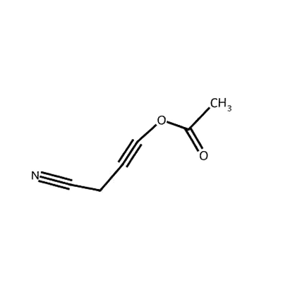 CC(=O)OC#CCC#N